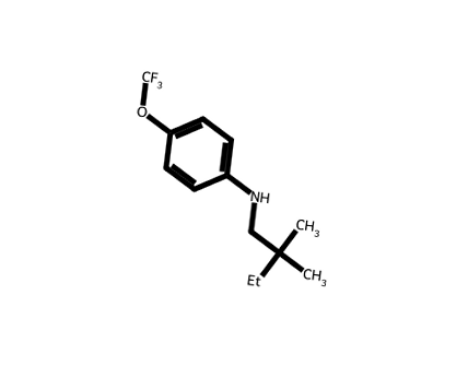 CCC(C)(C)CNc1ccc(OC(F)(F)F)cc1